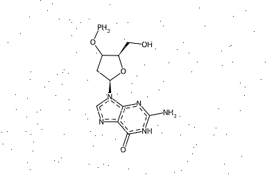 Nc1nc2c(ncn2[C@H]2CC(OP)[C@@H](CO)O2)c(=O)[nH]1